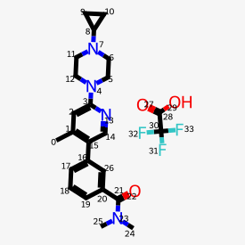 Cc1cc(N2CCN(C3CC3)CC2)ncc1-c1cccc(C(=O)N(C)C)c1.O=C(O)C(F)(F)F